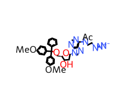 COc1ccc(C(OC[C@H]2O[C@@H](n3cnc4c(N(CCN=[N+]=[N-])C(C)=O)ncnc43)C[C@@H]2O)(c2ccccc2)c2ccc(OC)cc2)cc1